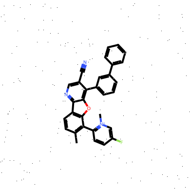 Cc1ccc2c(oc3c(-c4cccc(-c5ccccc5)c4)c(C#N)cnc32)c1-c1ccc(F)c[n+]1C